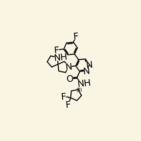 O=C(N[C@@H]1CCC(F)(F)C1)c1nncc(-c2cc(F)cc(F)c2)c1N1CCC2(CCCN2)C1